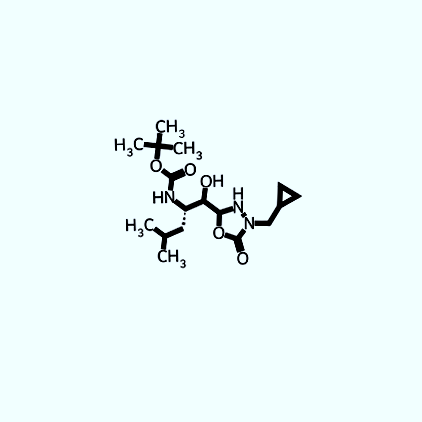 CC(C)C[C@H](NC(=O)OC(C)(C)C)C(O)C1NN(CC2CC2)C(=O)O1